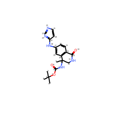 CC(C)(C)OC(=O)NC1(C)CNC(=O)c2ccc(Nc3ccncn3)cc21